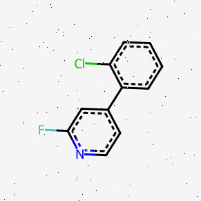 Fc1[c]c(-c2ccccc2Cl)ccn1